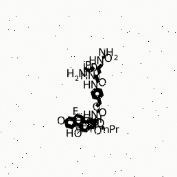 CCCC1O[C@@H]2C[C@H]3[C@@H]4C[C@H](F)C5=CC(=O)C=C[C@]5(C)[C@@]4(F)[C@@H](O)C[C@]3(C)[C@]2(C(=O)CNC(=O)OCc2ccc(NC(=O)[C@H](CCCNC(N)=O)NC(=O)[C@@H](N)C(C)C)cc2)O1